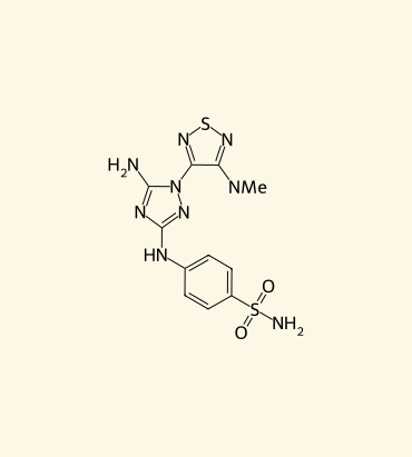 CNc1nsnc1-n1nc(Nc2ccc(S(N)(=O)=O)cc2)nc1N